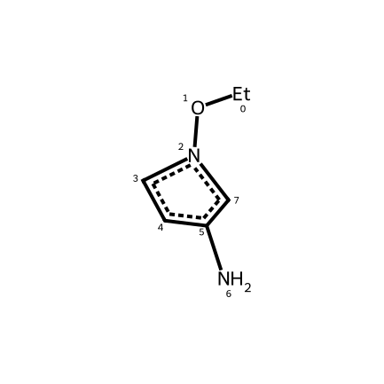 CCOn1ccc(N)c1